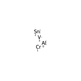 [Al].[Cr].[Sn].[V]